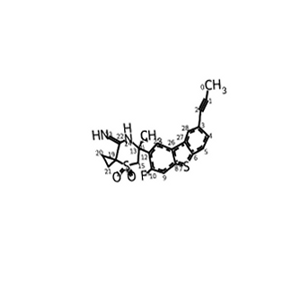 CC#Cc1ccc2sc3cc(F)c([C@]4(C)CS(=O)(=O)C5(CC5)C(=N)N4)cc3c2c1